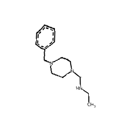 CCN[CH]N1CCN(Cc2ccccc2)CC1